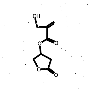 C=C(CO)C(=O)OC1COC(=O)C1